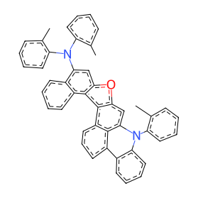 Cc1ccccc1N(c1ccccc1C)c1cc2oc3cc4c5c(cccc5c3c2c2ccccc12)-c1ccccc1N4c1ccccc1C